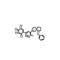 Cc1nnc(-c2c[nH]c(=O)[nH]c2=O)cc1N1CCC2(CCCN2Cc2ccccc2)C1